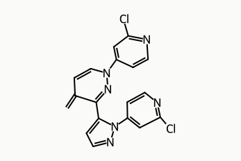 C=C1C=CN(c2ccnc(Cl)c2)N=C1c1ccnn1-c1ccnc(Cl)c1